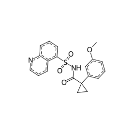 COc1cccc(C2(C(=O)NS(=O)(=O)c3cccc4ncccc34)CC2)c1